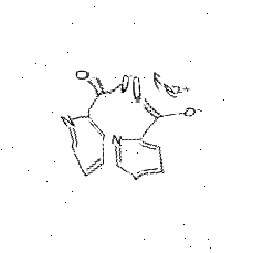 O=C([O-])c1ccccn1.O=C([O-])c1ccccn1.[Fe+2]